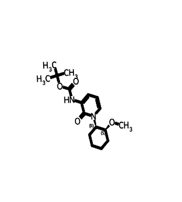 CO[C@H]1CCCC[C@H]1n1cccc(NC(=O)OC(C)(C)C)c1=O